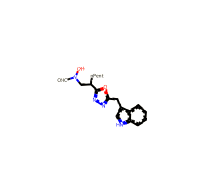 CCCCCC(CN(O)C=O)c1nnc(Cc2c[nH]c3ccccc23)o1